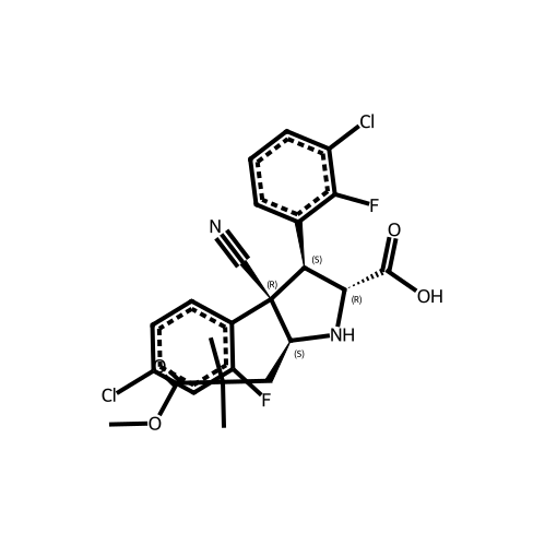 COC(=O)C(C)(C)C[C@@H]1N[C@@H](C(=O)O)[C@H](c2cccc(Cl)c2F)[C@@]1(C#N)c1ccc(Cl)cc1F